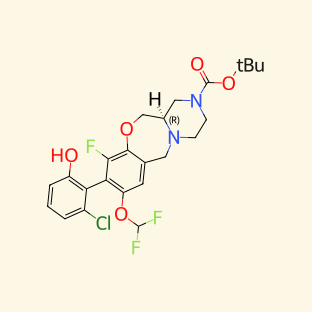 CC(C)(C)OC(=O)N1CCN2Cc3cc(OC(F)F)c(-c4c(O)cccc4Cl)c(F)c3OC[C@H]2C1